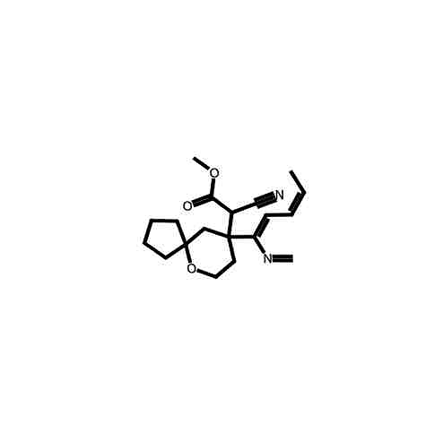 C=N/C(=C\C=C/C)C1(C(C#N)C(=O)OC)CCOC2(CCCC2)C1